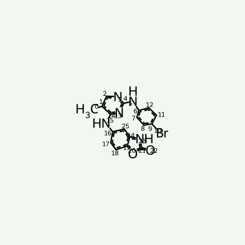 Cc1cnc(Nc2ccc(Br)cc2)nc1Nc1ccc2oc(=O)[nH]c2c1